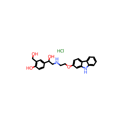 Cl.OCc1cc(C(O)CNCCOc2ccc3c(c2)[nH]c2ccccc23)ccc1O